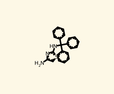 Nc1csc(NC(c2ccccc2)(c2ccccc2)c2ccccc2)n1